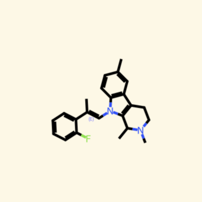 C/C(=C\n1c2c(c3cc(C)ccc31)CCN(C)C2C)c1ccccc1F